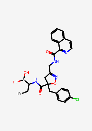 CC(C)CC(NC(=O)C1(Cc2ccc(Cl)cc2)CC(CNC(=O)c2nccc3ccccc23)=NO1)B(O)O